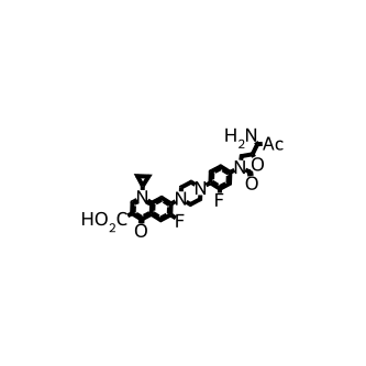 CC(=O)C(N)C1CN(c2ccc(N3CCN(c4cc5c(cc4F)c(=O)c(C(=O)O)cn5C4CC4)CC3)c(F)c2)C(=O)O1